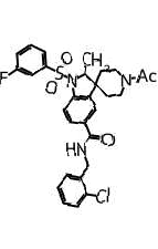 CC(=O)N1CCC2(CC1)c1cc(C(=O)NCc3ccccc3Cl)ccc1N(S(=O)(=O)c1cccc(F)c1)C2C